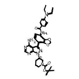 CCN(CC)c1ccc(C(=O)Nc2ccc(-c3nn([C@@H]4CCCN(C(=O)OC(C)(C)C)C4)c4ncnc(N)c34)c3c2OCO3)cc1